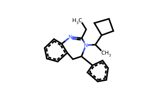 CCC1=Nc2ccccc2CC(c2ccccc2)N1C(C)C1CCC1